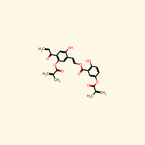 C=CC(=O)c1cc(O)c(/C=C/OC(=O)c2cc(OC(=O)C(=C)C)ccc2O)cc1OC(=O)C(=C)C